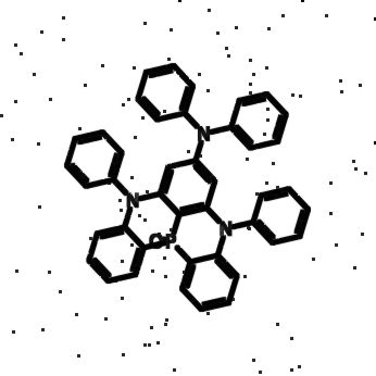 O=P12c3ccccc3N(c3ccccc3)c3cc(N(c4ccccc4)c4ccccc4)cc(c31)N(c1ccccc1)c1ccccc12